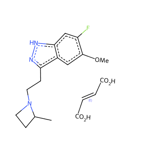 COc1cc2c(CCN3CCC3C)n[nH]c2cc1F.O=C(O)/C=C/C(=O)O